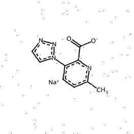 Cc1ccc(-n2ccnn2)c(C(=O)[O-])n1.[Na+]